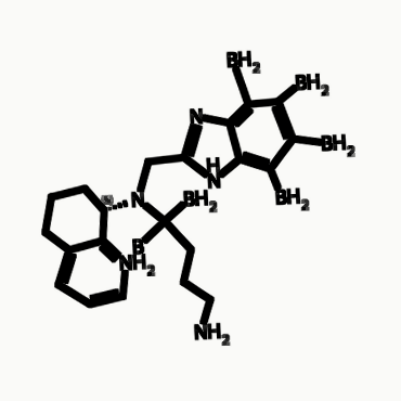 Bc1c(B)c(B)c2[nH]c(CN([C@H]3CCCc4cccnc43)C(B)(B)CCCN)nc2c1B